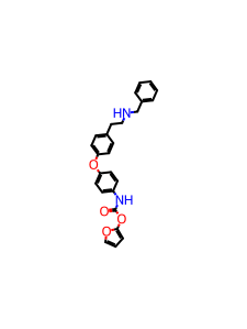 O=C(Nc1ccc(Oc2ccc(CCNCc3ccccc3)cc2)cc1)Oc1ccco1